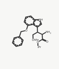 COCC(c1c[nH]c2cccc(OCc3ccccc3)c12)C(N)C(=O)OC(C)C